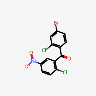 O=C(c1ccc(Br)cc1Cl)c1cc([N+](=O)[O-])ccc1Cl